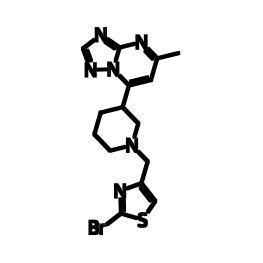 Cc1cc(C2CCCN(Cc3csc(Br)n3)C2)n2ncnc2n1